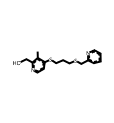 Cc1c(SCCCSCc2ccccn2)ccnc1CO